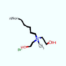 CCCCCCCCCCCCCC[N+](C)(CCO)CCO.[Br-]